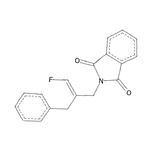 O=C1c2ccccc2C(=O)N1CC(=CF)Cc1ccccc1